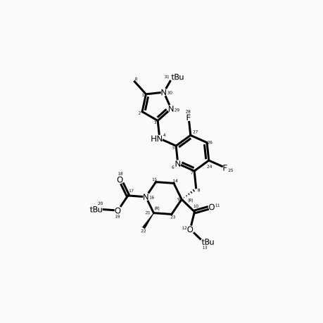 Cc1cc(Nc2nc(C[C@@]3(C(=O)OC(C)(C)C)CCN(C(=O)OC(C)(C)C)[C@H](C)C3)c(F)cc2F)nn1C(C)(C)C